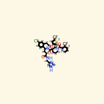 CCC[C@H]1N(C(=O)c2ncccc2C(F)(F)F)CCC[C@]1(Oc1csc(C(F)(F)F)c1)C(=O)N1CCc2cc(Cl)ccc2C1CCC(=O)NCc1nn[nH]n1